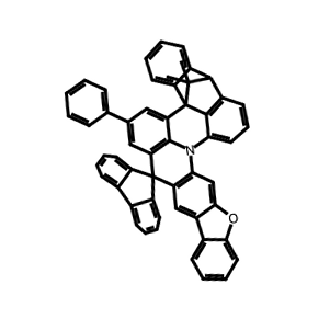 CC1(C)C2c3ccccc3C13c1cc(-c4ccccc4)cc4c1N(c1cc5oc6ccccc6c5cc1C41c4ccccc4-c4ccccc41)c1cccc2c13